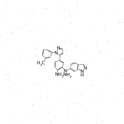 Cc1cccc(-n2nccc2-c2ccc(N)c(N(N)c3ccc4cn[nH]c4c3)c2)c1